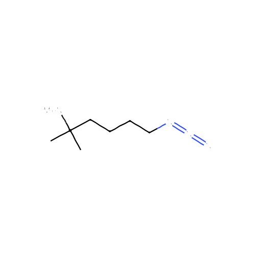 CNC(C)(C)CCCCN=[N+]=[N-]